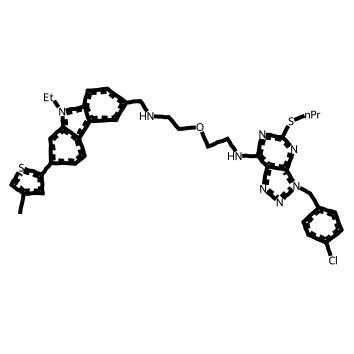 CCCSc1nc(NCCOCCNCc2ccc3c(c2)c2ccc(-c4cc(C)cs4)cc2n3CC)c2nnn(Cc3ccc(Cl)cc3)c2n1